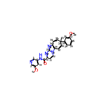 COc1cncc(NC(=O)c2ccn3c4c(nc3n2)C=CC(C)(c2cccc(OC)c2)C=C4)c1